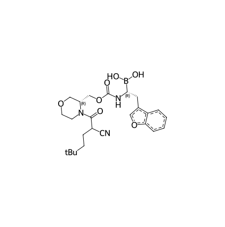 CC(C)(C)CCC(C#N)C(=O)N1CCOC[C@@H]1COC(=O)N[C@@H](Cc1coc2ccccc12)B(O)O